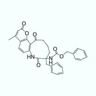 Cc1cc(=O)oc2c3c(ccc12)NC(=O)C(Cc1ccccc1)(NC(=O)OCc1ccccc1)CCCC3=O